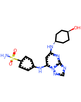 NS(=O)(=O)c1ccc(Nc2cc(N[C@H]3CC[C@H](O)CC3)nc3ncnn23)cc1